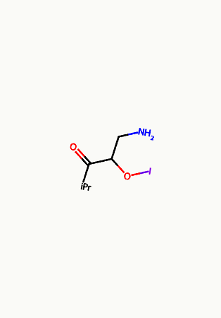 CC(C)C(=O)C(CN)OI